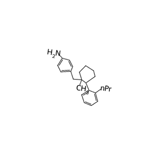 CCCc1ccccc1C1CCCCC1(C)Cc1ccc(N)cc1